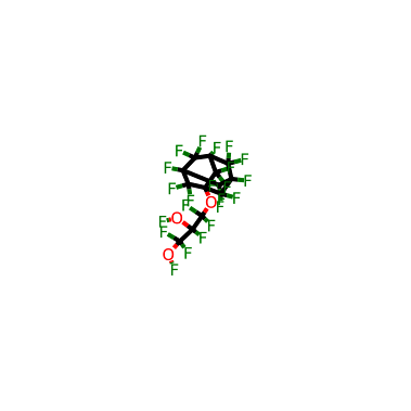 FOC(F)(F)C(F)(OF)C(F)(F)OC12C(F)(F)C3(F)C(F)(F)C(F)(C(F)(F)C(F)(C3(F)F)C1(F)F)C2(F)F